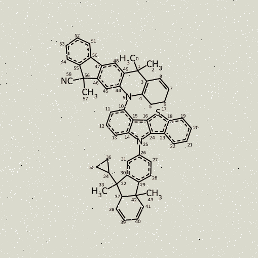 CC1(C)C2=C(CCC=C2)N(c2cccc3c2c2sc4ccccc4c2n3-c2ccc3c(c2)C(C)(C2CC2)C2C=CC=CC32C)c2cc3c(cc21)-c1ccccc1C3(C)C#N